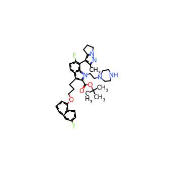 Cc1nn2c(c1-c1c(F)ccc3c(CCCOc4cccc5cc(F)ccc45)c(C(=O)OC(C)(C)C)n(CCN4CCNCC4)c13)CCC2